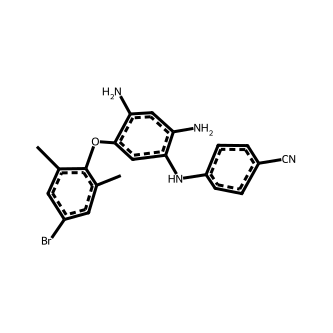 Cc1cc(Br)cc(C)c1Oc1cc(Nc2ccc(C#N)cc2)c(N)cc1N